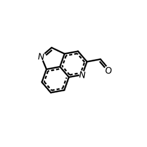 O=Cc1cc2c3c(cccc3n1)N=C2